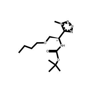 CCCCOC[C@H](NC(=O)OC(C)(C)C)c1nnnn1C